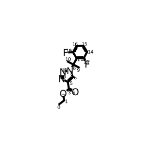 CCOC(=O)c1cn(C(C)(C)c2c(F)cccc2F)nn1